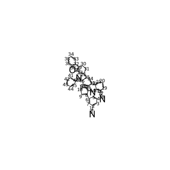 N#Cc1ccc2c(c1)c1ccccc1n2-c1c(C#N)cccc1C1=CC2C3=C(C4=C(CC3)C3C=CC=CC3O4)N(c3ccccc3)C2C=C1